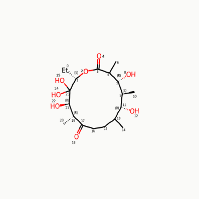 CC[C@@H]1OC(=O)C(C)[C@H](O)[C@@H](C)[C@H](O)C(C)CCC(=O)[C@H](C)[C@@H](O)C1(O)O